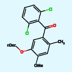 CCCCCCCCCCOc1cc(C(=O)c2c(Cl)cccc2Cl)c(C)cc1OC